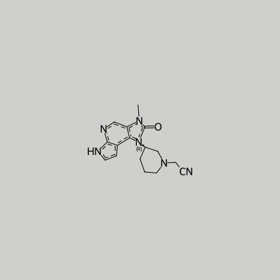 Cn1c(=O)n([C@@H]2CCCN(CC#N)C2)c2c3cc[nH]c3ncc21